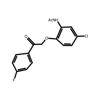 CC(=O)Nc1cc(Cl)ccc1OCC(=O)c1ccc(F)cc1